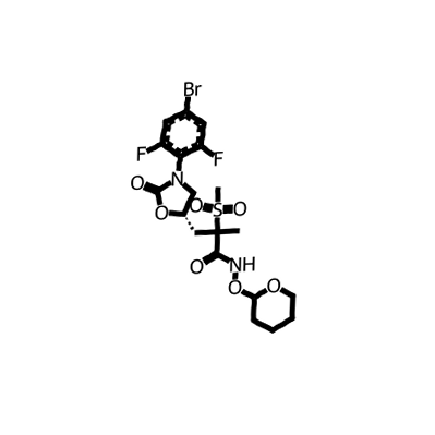 CC(C[C@H]1CN(c2c(F)cc(Br)cc2F)C(=O)O1)(C(=O)NOC1CCCCO1)S(C)(=O)=O